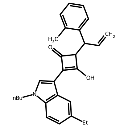 C=CC(c1ccccc1C)C1C(=O)C(c2cn(CCCC)c3ccc(CC)cc23)=C1O